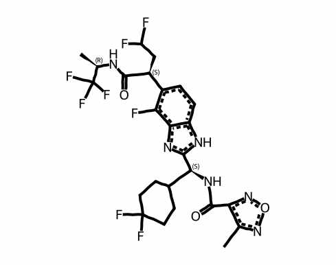 Cc1nonc1C(=O)N[C@H](c1nc2c(F)c([C@H](CC(F)F)C(=O)N[C@H](C)C(F)(F)F)ccc2[nH]1)C1CCC(F)(F)CC1